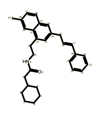 O=C(CC1CCCCC1)NCCc1cc(CC=Cc2ccccc2)cc2ccc(I)cc12